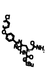 CC(C)(C)OC(=O)N[C@@H](CC(N)=O)Cc1nc(-c2ccc(Oc3ccc(Cl)cc3)cc2)no1